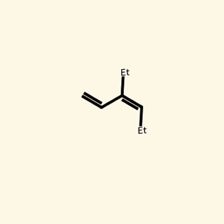 C=C/C(=C\CC)CC